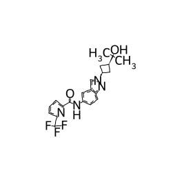 CC(C)(O)[C@H]1C[C@@H](n2cc3cc(NC(=O)c4cccc(C(F)(F)F)n4)ccc3n2)C1